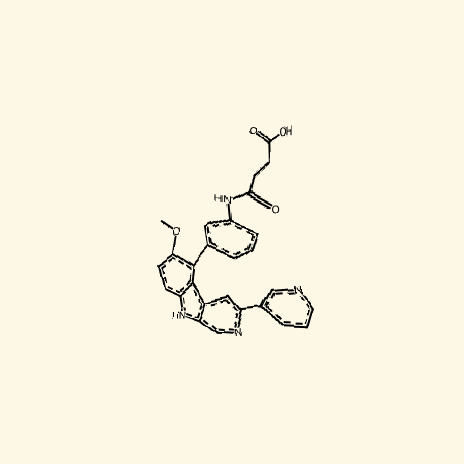 COc1ccc2[nH]c3cnc(-c4cccnc4)cc3c2c1-c1cccc(NC(=O)CCC(=O)O)c1